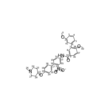 COc1cccc(-c2cc(C(=O)Nc3ccc(-c4ccc(OC5CCN(C)CC5)cc4)c([N+](=O)[O-])c3)ccc2OC)c1